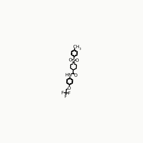 Cc1ccc(S(=O)(=O)N2CCC(C(=O)Nc3ccc(OCC(F)(F)F)cc3)CC2)cc1